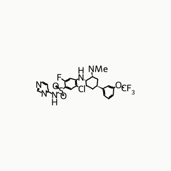 CN[C@H]1C[C@@H](c2cccc(OC(F)(F)F)c2)CC[C@@H]1Nc1cc(F)c(S(=O)(=O)Nc2ccncn2)cc1Cl